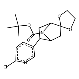 CC(C)(C)OC(=O)N1C2CC3(OCCO3)C1CC2c1ccc(Cl)nc1